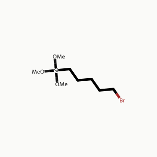 CO[Si](CCCCCBr)(OC)OC